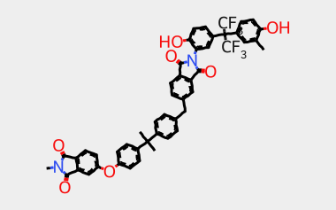 Cc1cc(C(c2ccc(O)c(N3C(=O)c4ccc(Cc5ccc(C(C)(C)c6ccc(Oc7ccc8c(c7)C(=O)N(C)C8=O)cc6)cc5)cc4C3=O)c2)(C(F)(F)F)C(F)(F)F)ccc1O